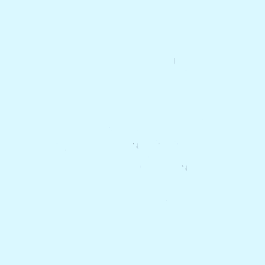 CC(=Cc1ccc2c(c1)N(S(=O)(=O)c1cc(Cl)cnc1OCCO)CC(CCC(=O)O)O2)c1c(F)cccc1Cl